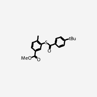 COC(=O)c1ccc(C)c(SC(=O)c2ccc(C(C)(C)C)cc2)c1